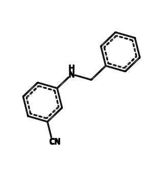 N#Cc1cccc(NCc2ccccc2)c1